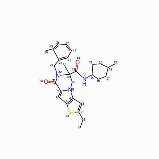 CCc1cc2c(cc3n2CC(C)(C(=O)NC2CCC(C)CC2)N(Cc2ccccc2C)C3=O)s1